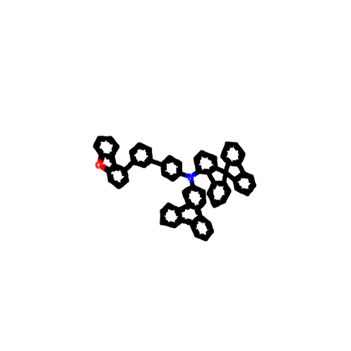 c1cc(-c2ccc(N(c3ccc4c5ccccc5c5ccccc5c4c3)c3cccc4c3-c3ccccc3C43c4ccccc4-c4ccccc43)cc2)cc(-c2cccc3oc4ccccc4c23)c1